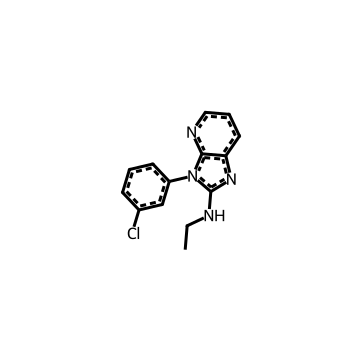 CCNc1nc2cccnc2n1-c1cccc(Cl)c1